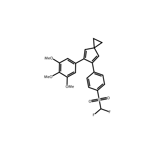 COc1cc(C2=CC3(C=C2c2ccc(S(=O)(=O)C(F)F)cc2)CC3)cc(OC)c1OC